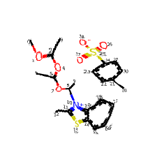 COC(C)OC(C)OC(C)[n+]1c(C)sc2ccccc21.Cc1ccc(S(=O)(=O)[O-])cc1